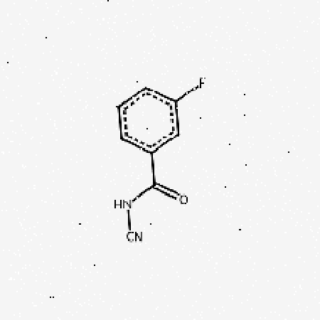 N#CNC(=O)c1cccc(F)c1